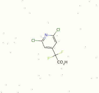 O=C(O)C(F)(F)c1cc(Cl)nc(Cl)c1